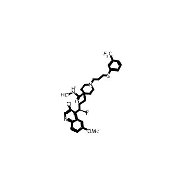 COc1ccc2ncc(Cl)c([C@H](F)CCC3(C(=O)NO)CCN(CCCSc4cccc(C(F)(F)F)c4)CC3)c2c1